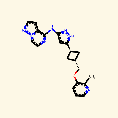 Cc1ncccc1OC[C@H]1C[C@H](c2cc(Nc3nccn4nccc34)n[nH]2)C1